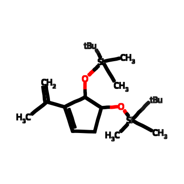 C=C(C)C1=CCC(O[Si](C)(C)C(C)(C)C)C1O[Si](C)(C)C(C)(C)C